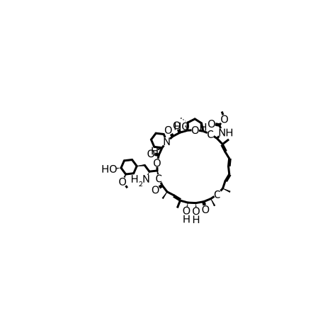 COC(=O)NC1C[C@@H]2CC[C@@H](C)[C@@](O)(O2)C(=O)C(=O)N2CCCC[C@H]2C(=O)O[C@H]([C@H](N)C[C@@H]2CC[C@@H](O)[C@H](OC)C2)CC(=O)[C@H](C)/C=C(\C)[C@@H](O)[C@@H](O)C(=O)[C@H](C)C[C@H](C)/C=C/C=C/C=C/1C